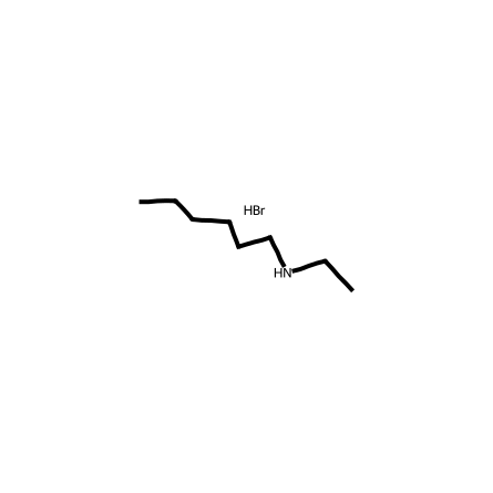 Br.CCCCCCNCC